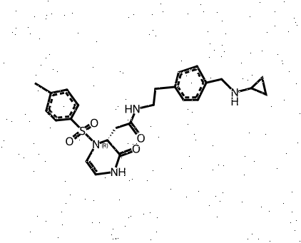 Cc1ccc(S(=O)(=O)N2C=CNC(=O)[C@H]2CC(=O)NCCc2ccc(CNC3CC3)cc2)cc1